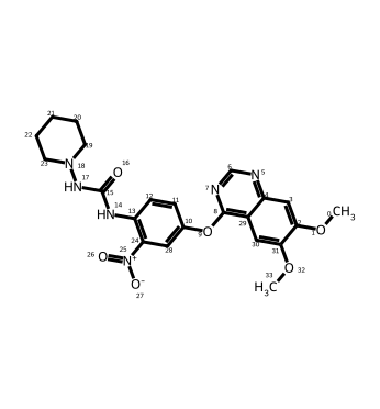 COc1cc2ncnc(Oc3ccc(NC(=O)NN4CCCCC4)c([N+](=O)[O-])c3)c2cc1OC